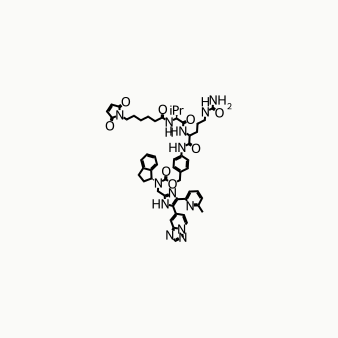 Cc1cccc(-c2nc(CN(C(=O)OCc3ccc(NC(=O)C(CCCNC(N)=O)NC(=O)[C@@H](NC(=O)CCCCCN4C(=O)C=CC4=O)C(C)C)cc3)[C@@H]3CCc4ccccc43)[nH]c2-c2ccn3ncnc3c2)n1